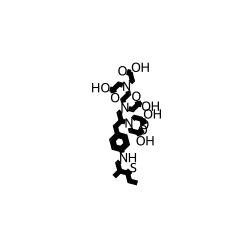 CCC(=S)C(C)CNc1ccc(CC(CN(CCN(CC(=O)O)CC(=O)O)CC(=O)O)N(CC(=O)O)CC(=O)O)cc1